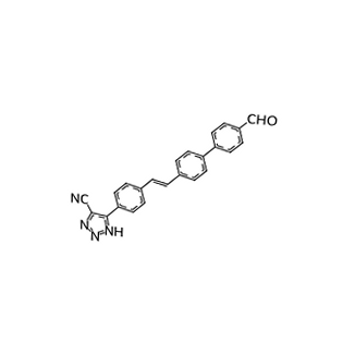 N#Cc1nn[nH]c1-c1ccc(C=Cc2ccc(-c3ccc(C=O)cc3)cc2)cc1